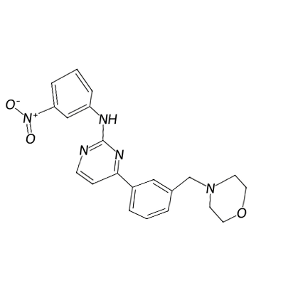 O=[N+]([O-])c1cccc(Nc2nccc(-c3cccc(CN4CCOCC4)c3)n2)c1